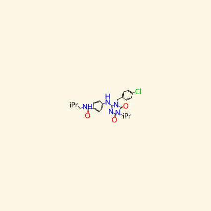 CC(C)CNC(=O)c1ccc(Nc2nc(=O)n(C(C)C)c(=O)n2Cc2ccc(Cl)cc2)cc1